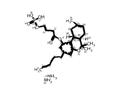 CCCCCc1cc(OC(=O)CCCOP(=O)(O)O)c2c(c1)OC(C)(C)[C@@H]1CC=C(C)C[C@@H]21.N.N